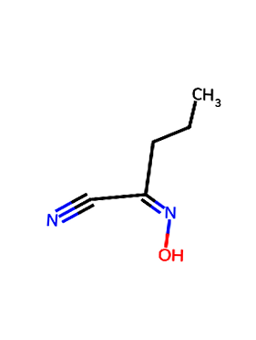 CCCC(C#N)=NO